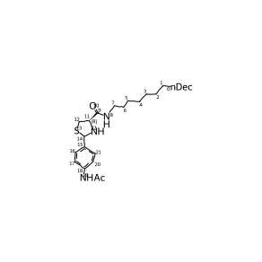 CCCCCCCCCCCCCCCCCNC(=O)[C@@H]1CSC(c2ccc(NC(C)=O)cc2)N1